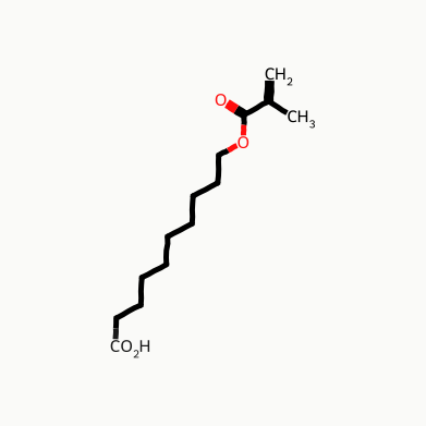 C=C(C)C(=O)OCCCCCCCCCC(=O)O